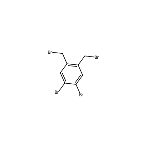 BrCc1cc(Br)c(Br)cc1CBr